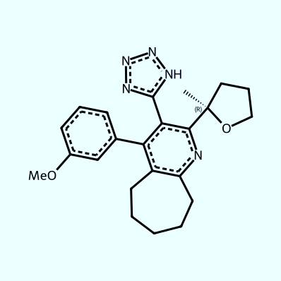 COc1cccc(-c2c3c(nc([C@@]4(C)CCCO4)c2-c2nnn[nH]2)CCCCC3)c1